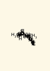 Cc1cc(C(=O)Nc2cc(Cl)cc(NS(C)(=O)=O)c2)cn1-c1ccc(N2CCC3(CC3)C2)cn1